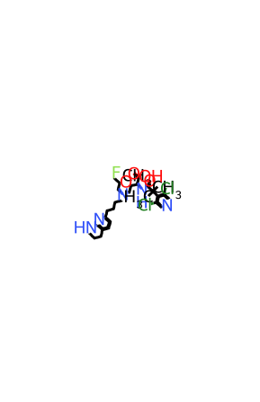 COC(CF)CN(CCCCc1ccc2c(n1)NCCC2)CCC(NC(=O)C(C)(C)c1c(Cl)cncc1Cl)C(=O)O